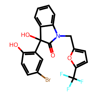 O=C1N(Cc2ccc(C(F)(F)F)o2)c2ccccc2C1(O)c1cc(Br)ccc1O